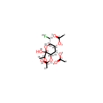 CC(=O)O[C@@H]1[C@H](OC(C)=O)[C@@H](OC(C)=O)C(O)(C(C)=O)O[C@@H]1CF